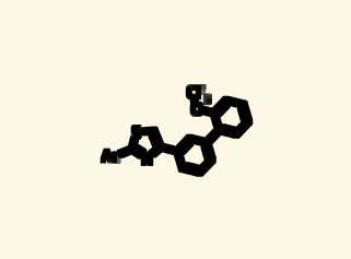 CC(=O)c1nc(-c2cccc(-c3ccccc3OC(F)(F)F)c2)cs1